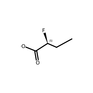 CC[C@H](F)C([O])=O